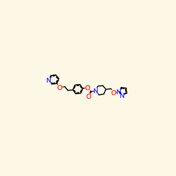 O=C(Oc1ccc(CCOc2cccnc2)cc1)N1CCC(COn2cccn2)CC1